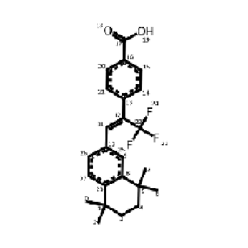 CC1(C)CCC(C)(C)c2cc(C=C(c3ccc(C(=O)O)cc3)C(F)(F)F)ccc21